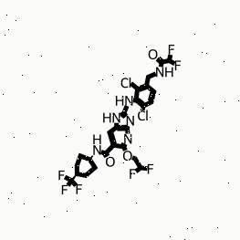 O=C(N[C@H]1CC[C@H](C(F)(F)F)CC1)c1cc2[nH]c(Nc3c(Cl)ccc(CNC(=O)C(F)F)c3Cl)nc2nc1OCC(F)F